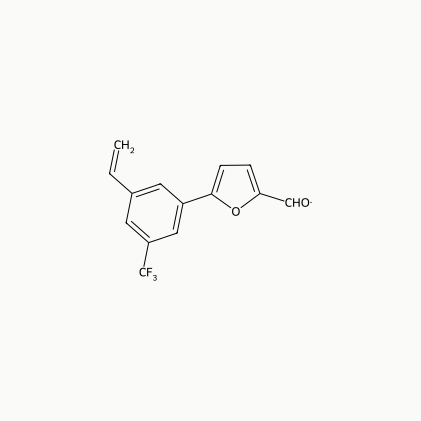 C=Cc1cc(-c2ccc([C]=O)o2)cc(C(F)(F)F)c1